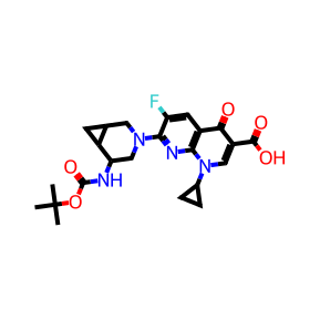 CC(C)(C)OC(=O)NC1CN(c2nc3c(cc2F)c(=O)c(C(=O)O)cn3C2CC2)CC2CC21